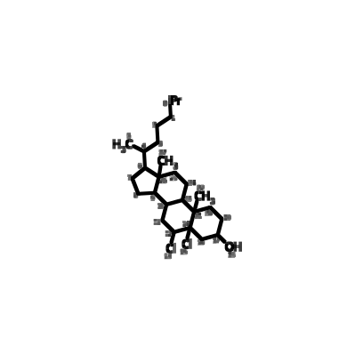 CC(C)CCCC(C)C1CCC2C3CC(Cl)C4(Cl)CC(O)CCC4(C)C3CCC12C